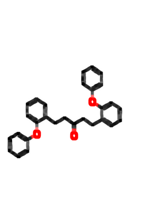 O=C(CCc1ccccc1Oc1ccccc1)CCc1ccccc1Oc1ccccc1